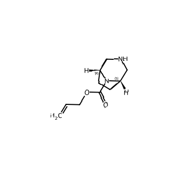 C=CCOC(=O)N1[C@@H]2CC[C@H]1CNC2